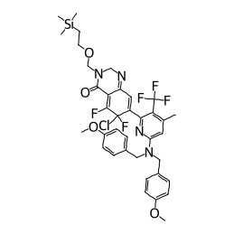 COc1ccc(CN(Cc2ccc(OC)cc2)c2cc(C)c(C(F)(F)F)c(C3=CC4=NCN(COCC[Si](C)(C)C)C(=O)C4=C(F)C3(F)Cl)n2)cc1